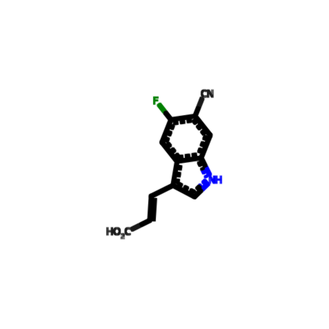 N#Cc1cc2[nH]cc(C=CC(=O)O)c2cc1F